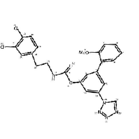 COc1ccccc1-c1cc(OC(=O)NCCc2ccc(Cl)c(Cl)c2)cc(-n2cnnn2)c1